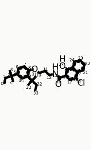 CCC(C)(C)c1ccc(OCCCNC(=O)c2cc(Cl)c3ccccc3c2O)c(C(C)(C)CC)c1